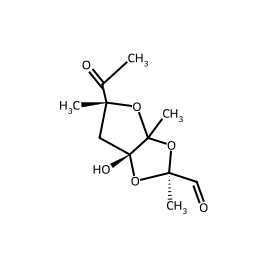 CC(=O)[C@@]1(C)C[C@@]2(O)O[C@](C)(C=O)OC2(C)O1